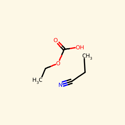 CCC#N.CCOC(=O)O